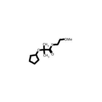 COCCSC(=O)C(C)(C)OC1CCCC1